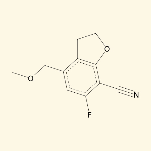 COCc1cc(F)c(C#N)c2c1CCO2